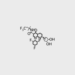 CC(C)(CC(F)(F)F)NC(=O)c1cn(-c2c(F)cc(F)cc2F)c2nc(N3C[C@@H](O)[C@H](O)C3)ccc2c1=O